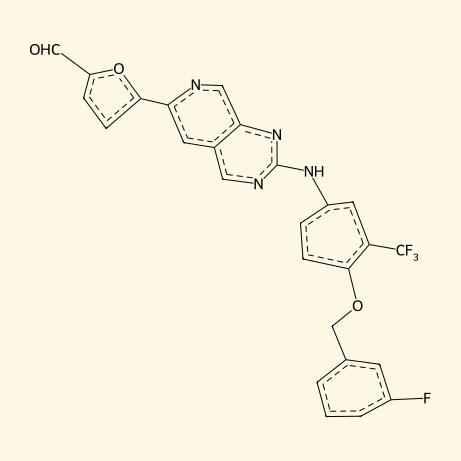 O=Cc1ccc(-c2cc3cnc(Nc4ccc(OCc5cccc(F)c5)c(C(F)(F)F)c4)nc3cn2)o1